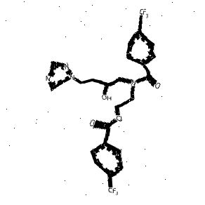 O=C(OCCN(CC(O)CCn1cncn1)C(=O)c1ccc(C(F)(F)F)cc1)c1ccc(C(F)(F)F)cc1